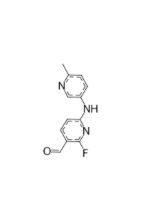 Cc1ccc(Nc2ccc(C=O)c(F)n2)cn1